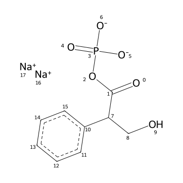 O=C(OP(=O)([O-])[O-])C(CO)c1ccccc1.[Na+].[Na+]